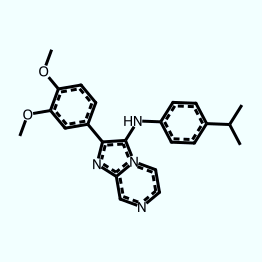 COc1ccc(-c2nc3cnccn3c2Nc2ccc(C(C)C)cc2)cc1OC